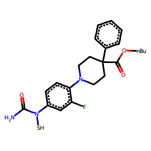 CCCCOC(=O)C1(c2ccccc2)CCN(c2ccc(N(S)C(N)=O)cc2F)CC1